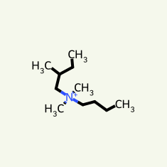 CCCC[N+](C)(C)CC(C)CC